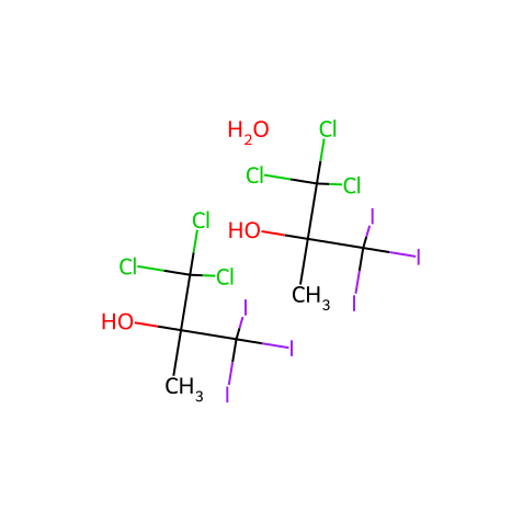 CC(O)(C(Cl)(Cl)Cl)C(I)(I)I.CC(O)(C(Cl)(Cl)Cl)C(I)(I)I.O